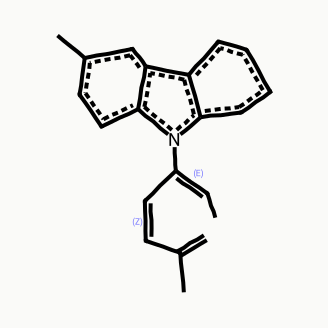 C=C(C)/C=C\C(=C/C)n1c2ccccc2c2cc(C)ccc21